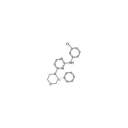 Clc1cccc(Nc2nccc(N3CCOC[C@H]3c3ccccc3)n2)c1